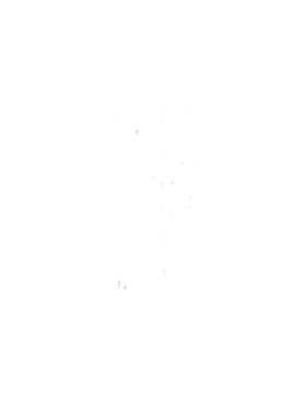 O=c1c(-c2ccccc2)c(-c2ccccc2)oc2cc(OCC(O)CN3CCCCC3)ccc12